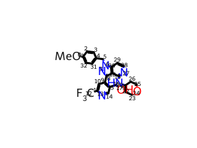 COc1ccc(Cn2nc(-c3cc(C(F)(F)F)ncc3CO)c3c(NC4CCOCC4)nccc32)cc1